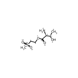 C[C@@H](O)[C@H](N)C(=O)OCCS(C)(=O)=O